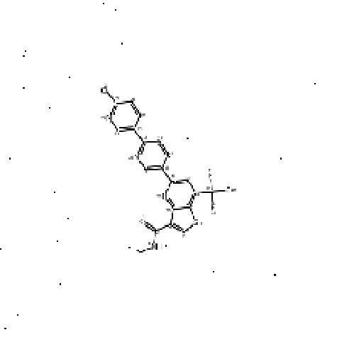 CNC(=O)c1csc2c(C(F)(F)F)cc(-c3ccc(-c4ccc(Cl)nc4)nc3)nc12